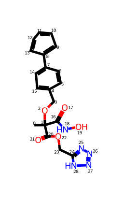 CC(OCc1ccc(-c2ccccc2)cc1)(C(=O)NO)C(=O)OCc1nnn[nH]1